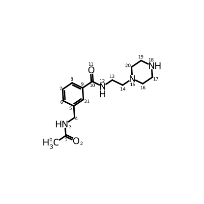 CC(=O)NCc1cccc(C(=O)NCCN2CCNCC2)c1